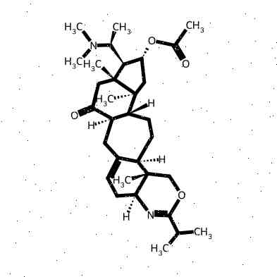 CC(=O)O[C@@H]1C[C@@]2(C)[C@@H]3CC[C@@H]4C(=CC[C@@H]5N=C(C(C)C)OC[C@]54C)C[C@H]3C(=O)C[C@]2(C)[C@H]1[C@H](C)N(C)C